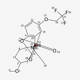 COC1CCC2(CC1)Oc1ccc(OCC(F)(F)F)cc1C21NC(=O)N(C)C1=O